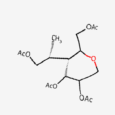 CC(=O)OCC1OCC(OC(C)=O)C(OC(C)=O)[C@@H]1[C@@H](C)COC(C)=O